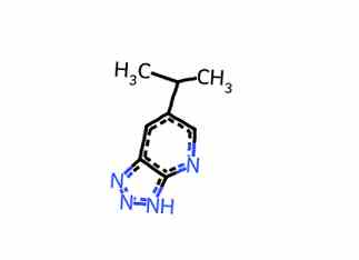 CC(C)c1cnc2[nH]nnc2c1